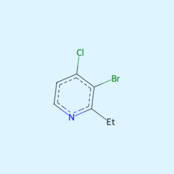 CCc1nccc(Cl)c1Br